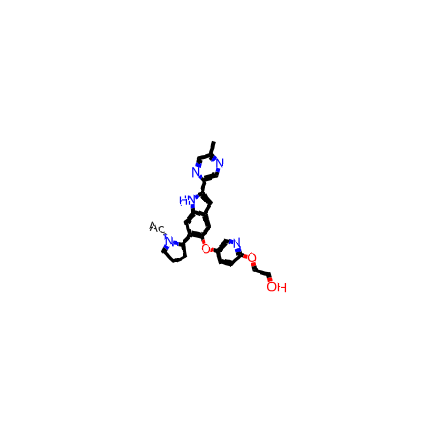 CC(=O)N1CCCC1c1cc2[nH]c(-c3cnc(C)cn3)cc2cc1Oc1ccc(OCCO)nc1